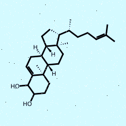 CC(C)=CCC[C@@H](C)[C@H]1CC[C@H]2[C@@H]3CC=C4C(O)C(O)CC[C@]4(C)[C@H]3CC[C@]12C